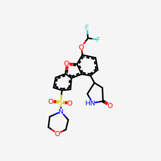 O=C1CC(c2ccc(OC(F)F)c3oc4ccc(S(=O)(=O)N5CCOCC5)cc4c23)CN1